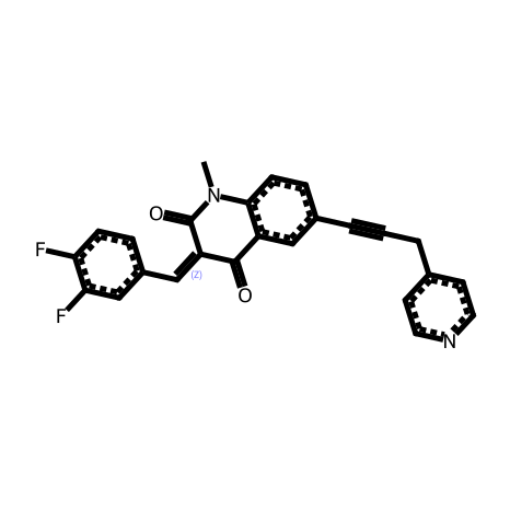 CN1C(=O)/C(=C\c2ccc(F)c(F)c2)C(=O)c2cc(C#CCc3ccncc3)ccc21